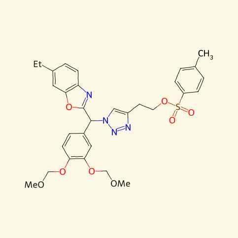 CCc1ccc2nc(C(c3ccc(OCOC)c(OCOC)c3)n3cc(CCOS(=O)(=O)c4ccc(C)cc4)nn3)oc2c1